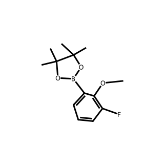 COc1c(F)cccc1B1OC(C)(C)C(C)(C)O1